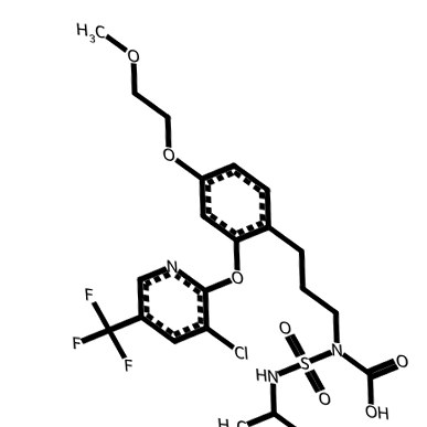 COCCOc1ccc(CCCN(C(=O)O)S(=O)(=O)NC(C)C)c(Oc2ncc(C(F)(F)F)cc2Cl)c1